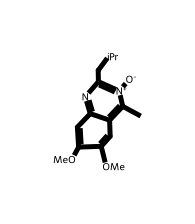 COc1cc2nc(CC(C)C)[n+]([O-])c(C)c2cc1OC